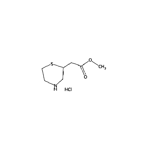 COC(=O)CC1CNCCS1.Cl